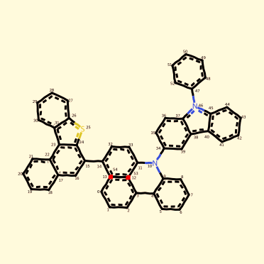 c1ccc(-c2ccccc2N(c2ccc(-c3cc4ccccc4c4c3sc3ccccc34)cc2)c2ccc3c(c2)c2ccccc2n3-c2ccccc2)cc1